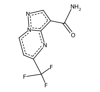 NC(=O)c1cnn2ccc(C(F)(F)F)nc12